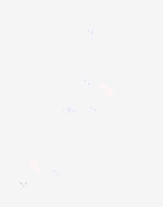 COC(=O)Nc1ccc(-c2[nH]c([C@@H]3CCc4cc(-c5cc(Cl)ccc5NC(=O)O)cc(=O)n43)nc2C)cc1